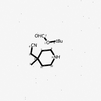 CC(C)(C)OC=O.CC1(CC#N)CCNCC1